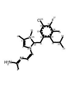 CC1=CN(/C=C\N=C(/C)N)C(Cc2cc(Cl)c(F)c(C)c2CC(C)C)N1C